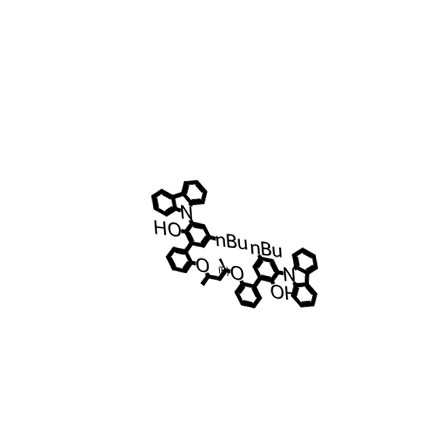 CCCCc1cc(-c2ccccc2OC(C)C[C@@H](C)Oc2ccccc2-c2cc(CCCC)cc(-n3c4ccccc4c4ccccc43)c2O)c(O)c(-n2c3ccccc3c3ccccc32)c1